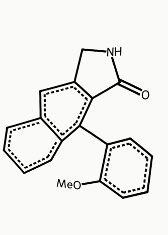 COc1ccccc1-c1c2c(cc3ccccc13)CNC2=O